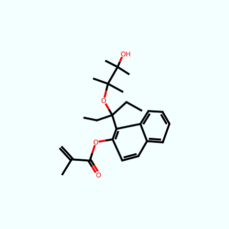 C=C(C)C(=O)Oc1ccc2ccccc2c1C(CC)(CC)OC(C)(C)C(C)(C)O